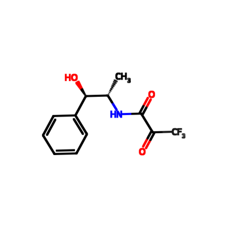 C[C@H](NC(=O)C(=O)C(F)(F)F)[C@H](O)c1ccccc1